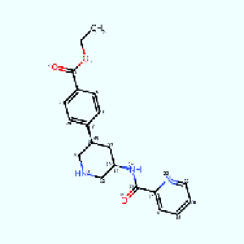 CCOC(=O)c1ccc([C@@H]2CNC[C@H](NC(=O)c3ccccn3)C2)cc1